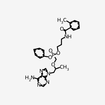 Cc1ccccc1C(=O)NCCCOP(=O)(COC(C)Cn1cnc2c(N)ncnc21)Oc1ccccc1